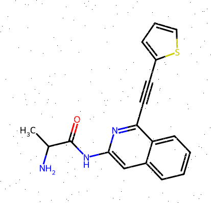 CC(N)C(=O)Nc1cc2ccccc2c(C#Cc2cccs2)n1